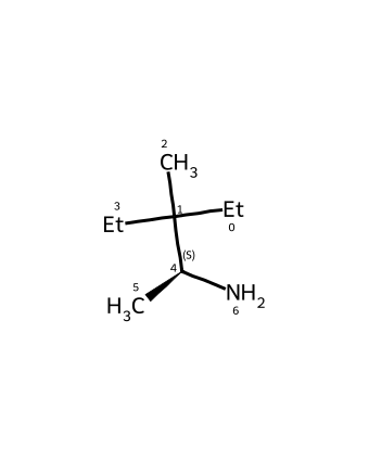 CCC(C)(CC)[C@H](C)N